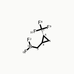 FB(F)CC1C[C@H]1C(F)(F)F